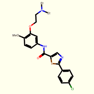 CCN(CC)CCOc1cc(NC(=O)c2cnc(-c3ccc(Cl)cc3)s2)ccc1OC